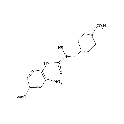 COc1ccc(NC(=O)N(S)CC2CCN(C(=O)O)CC2)c([N+](=O)[O-])c1